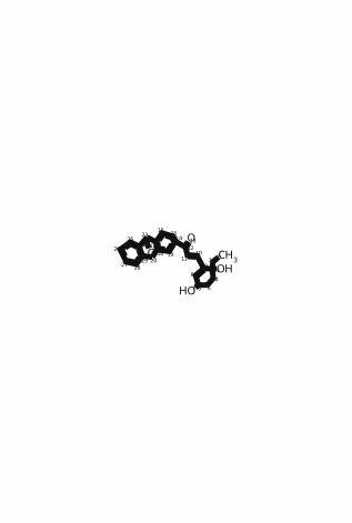 CCC1(O)CCC(O)C=C1C=CC(=O)c1ccc2c(c1)C1CCC2c2ccccc21